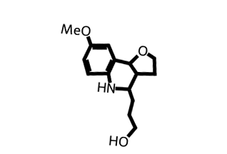 COc1ccc2c(c1)C1OCCC1C(CCCO)N2